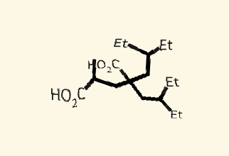 CCC(CC)CC(CC(CC)CC)(CC(C)C(=O)O)C(=O)O